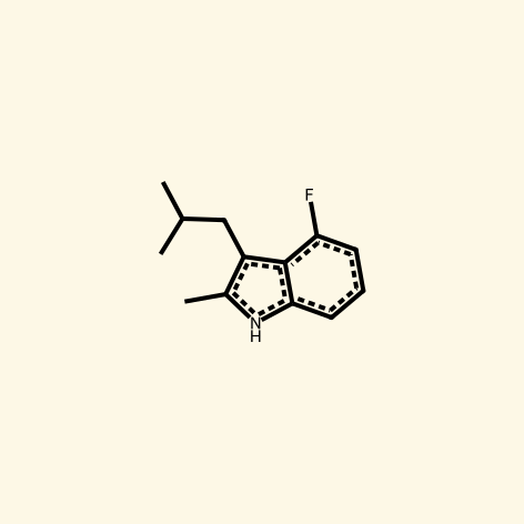 Cc1[nH]c2cccc(F)c2c1CC(C)C